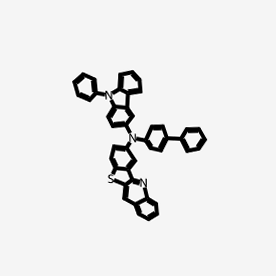 c1ccc(-c2ccc(N(c3ccc4sc5cc6ccccc6nc5c4c3)c3ccc4c(c3)c3ccccc3n4-c3ccccc3)cc2)cc1